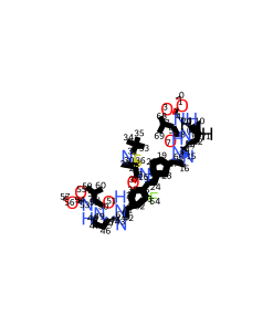 COC(=O)NC(C(=O)N1[C@@H]2C[C@@H]2C[C@H]1c1ncc(-c2ccc3c(c2)cc2n3C(c3cnc(C(C)(C)C)s3)Oc3cc(-c4cnc([C@@H]5CCCN5C(=O)[C@@H](NC(=O)OC)C(C)C)[nH]4)cc(F)c3-2)[nH]1)C(C)C